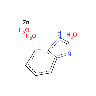 O.O.O.[Zn].c1ccc2[nH]cnc2c1